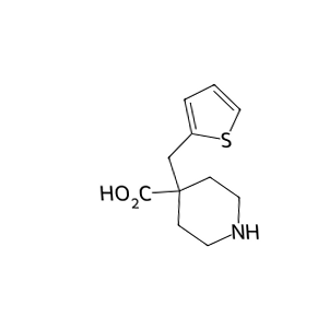 O=C(O)C1(Cc2cccs2)CCNCC1